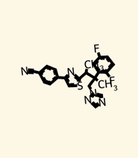 CC(c1nc(-c2ccc(C#N)cc2)cs1)C(C)(Cn1cncn1)c1cc(F)ccc1F